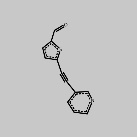 O=Cc1ccc(C#Cc2cccnc2)s1